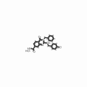 O=C(NO)c1ccc2c(=O)n(Cc3ccccc3)c(NCc3ccc(Cl)cc3)nc2c1